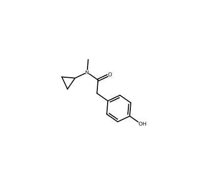 CN(C(=O)Cc1ccc(O)cc1)C1CC1